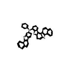 c1ccc(N(c2ccc3c(c2)sc2c4ccccc4ccc32)c2cccc3c2sc2ccc4sc5c6ccccc6ccc5c4c23)cc1